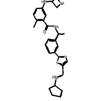 Cc1ccc(NC2CNC2)cc1C(=O)NC(C)c1cccc(-c2ncc(CNC3CCCC3)s2)c1